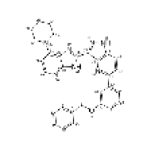 c1ccc(COc2cncc(-c3ccc4[nH]nc(-c5nc6c(N7CCCCC7)ccnc6[nH]5)c4n3)c2)cc1